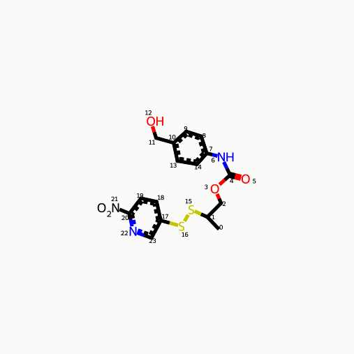 CC(COC(=O)Nc1ccc(CO)cc1)SSc1ccc([N+](=O)[O-])nc1